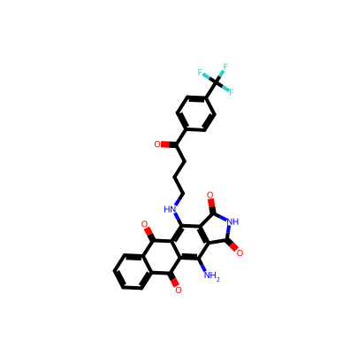 Nc1c2c(=O)[nH]c(=O)c2c(NCCCC(=O)c2ccc(C(F)(F)F)cc2)c2c(=O)c3ccccc3c(=O)c12